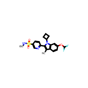 CC(C)(C)NS(=O)(=O)c1ccc(-c2c(C#N)c3ccc(OC(F)F)cc3n2C2CCC2)nc1